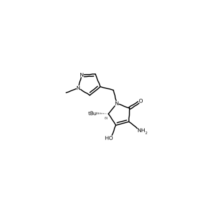 Cn1cc(CN2C(=O)C(N)=C(O)[C@@H]2C(C)(C)C)cn1